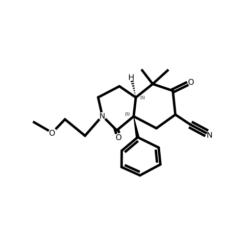 COCCN1CC[C@H]2C(C)(C)C(=O)C(C#N)C[C@]2(c2ccccc2)C1=O